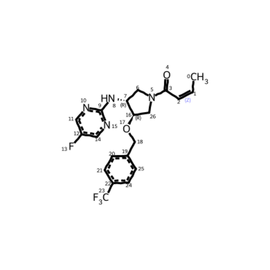 C/C=C\C(=O)N1C[C@@H](Nc2ncc(F)cn2)[C@H](OCc2ccc(C(F)(F)F)cc2)C1